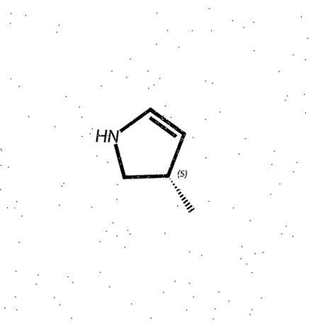 C[C@H]1C=CNC1